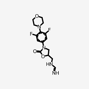 N=CNCC1CN(c2cc(F)c(N3CCOCC3)c(F)c2)C(=O)O1